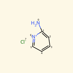 NC1=CC=CC=[N+]1.[Cl-]